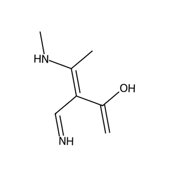 C=C(O)/C(C=N)=C(\C)NC